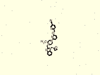 C[C@H]1CN(c2cccc(OCc3ccc(C#N)cn3)n2)CCN1Cc1nc2ccccc2n1C[C@@H]1CCO1